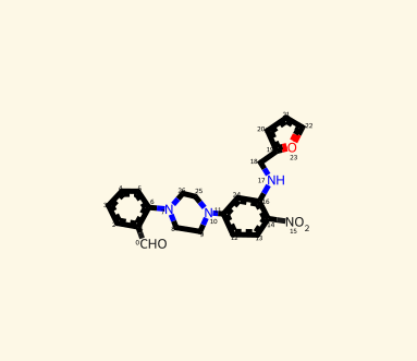 O=Cc1ccccc1N1CCN(c2ccc([N+](=O)[O-])c(NCc3ccco3)c2)CC1